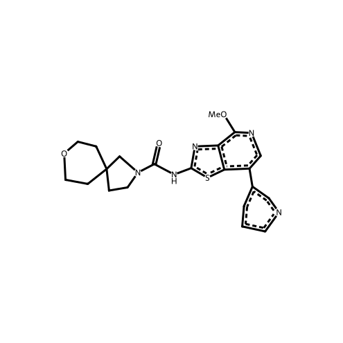 COc1ncc(-c2cccnc2)c2sc(NC(=O)N3CCC4(CCOCC4)C3)nc12